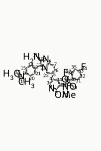 COc1ncc(-c2ccc3nc(N)c(-c4ccc(N(C)C)cc4)n3c2)cc1NS(=O)(=O)c1ccc(F)cc1F